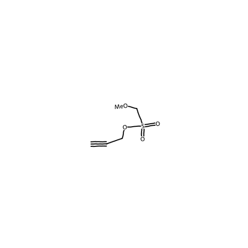 C#CCOS(=O)(=O)COC